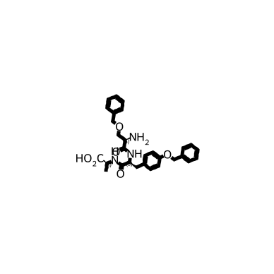 C[C@@H](NC(=O)[C@H](Cc1ccc(OCc2ccccc2)cc1)NC(=O)[C@@H](N)COCc1ccccc1)C(=O)O